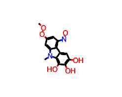 COOc1cc(N=O)c2c3cc(O)c(O)c(O)c3n(C)c2c1